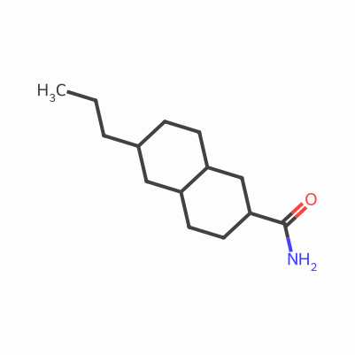 CCCC1CCC2CC(C(N)=O)CCC2C1